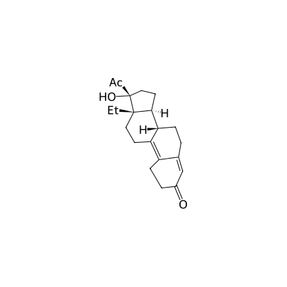 CC[C@]12CCC3=C4CCC(=O)C=C4CC[C@H]3[C@@H]1CC[C@]2(O)C(C)=O